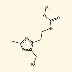 Cc1cc(CO)n(CCNC(=O)OC(C)(C)C)n1